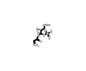 C=CC(=O)NC(CCCCCCCCCCC)OS(=O)(=O)[O-].[Na+]